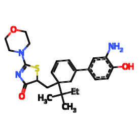 CCC(C)(C)C1(CC2SC(N3CCOCC3)=NC2=O)C=CC=C(c2ccc(O)c(N)c2)C1